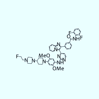 COc1cc(N2CCC(N3CCN(CCF)CC3)CC2)c(OC)cc1Nc1nccc(-c2c(-c3cccc(C(=O)Nc4c(F)cccc4F)c3)nc3ccccn23)n1